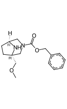 COC[C@@]12CC[C@@H](CN(C(=O)OCc3ccccc3)C1)N2